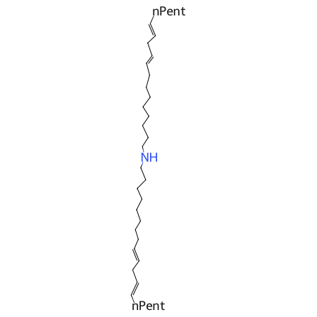 CCCCCC=CCC=CCCCCCCCCNCCCCCCCCC=CCC=CCCCCC